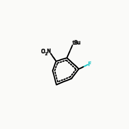 CC(C)(C)c1c(F)cccc1[N+](=O)[O-]